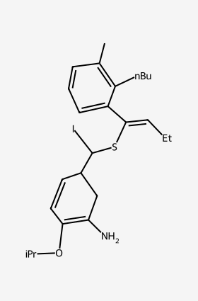 CC/C=C(\SC(I)C1C=CC(OC(C)C)=C(N)C1)c1cccc(C)c1CCCC